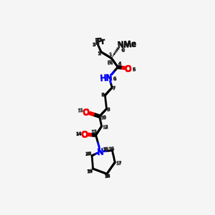 CN[C@@H](CC(C)C)C(=O)NCCCC(=O)CC(=O)N1CCCCC1